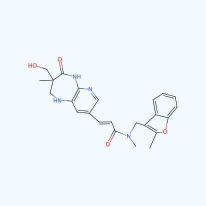 Cc1oc2ccccc2c1CN(C)C(=O)/C=C/c1cnc2c(c1)NCC(C)(CO)C(=O)N2